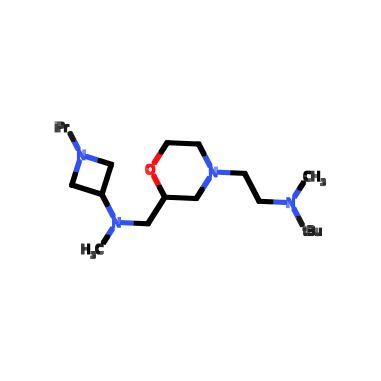 CC(C)N1CC(N(C)CC2CN(CCN(C)C(C)(C)C)CCO2)C1